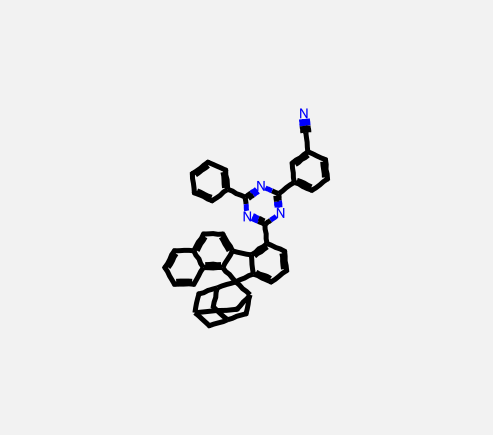 N#Cc1cccc(-c2nc(-c3ccccc3)nc(-c3cccc4c3-c3ccc5ccccc5c3C43C4CC5CC(C4)CC3C5)n2)c1